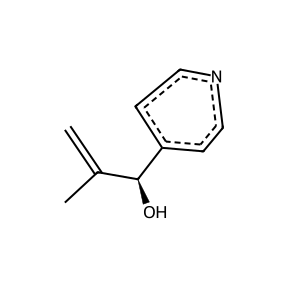 C=C(C)[C@H](O)c1ccncc1